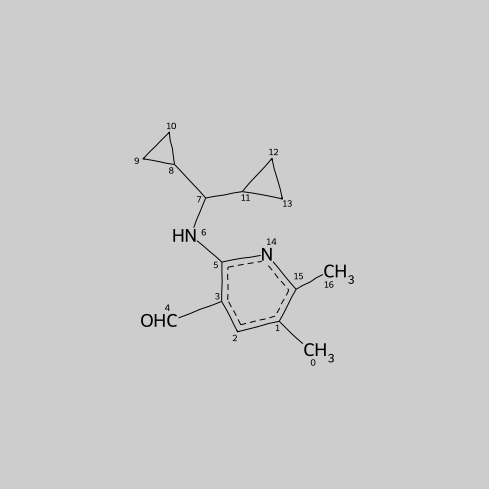 Cc1cc(C=O)c(NC(C2CC2)C2CC2)nc1C